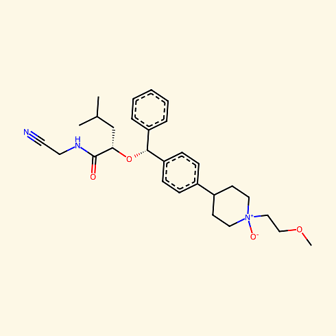 COCC[N+]1([O-])CCC(c2ccc([C@H](O[C@@H](CC(C)C)C(=O)NCC#N)c3ccccc3)cc2)CC1